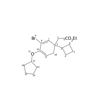 CCOC(=O)CC1(C2CCC2)C=C(Br)C(OC2CCCC2)=CC1